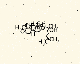 CC(C)=CCC[C@](C)(O)[C@H]1CC[C@@](C)([C@@H]2CC[C@H]3[C@@]2(C)CC[C@H]2C(C)(C)C(=O)CC[C@]32C)O1